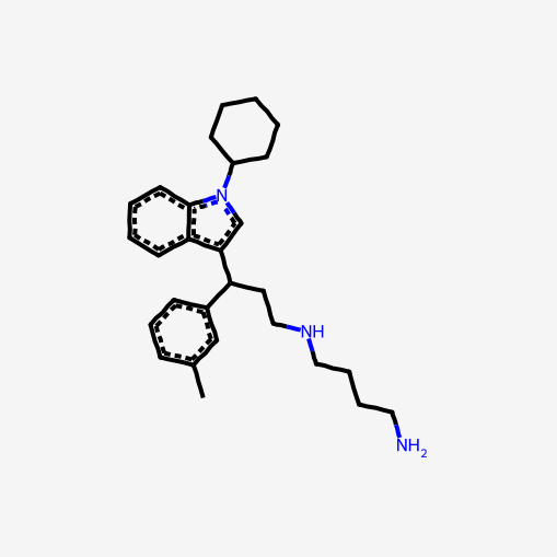 Cc1cccc(C(CCNCCCCN)c2cn(C3CCCCC3)c3ccccc23)c1